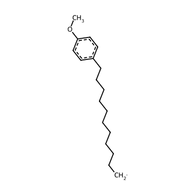 [CH2]CCCCCCCCCCc1ccc(OC)cc1